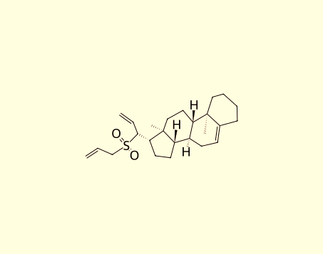 C=CCS(=O)(=O)C(C=C)[C@H]1CC[C@H]2[C@@H]3CC=C4CCCC[C@]4(C)[C@H]3CC[C@]12C